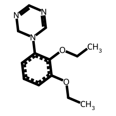 CCOc1cccc(N2C=NC=NC2)c1OCC